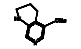 COc1cncc2c1CCCN2